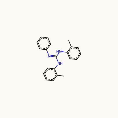 Cc1ccccc1NC(=Nc1ccccc1)Nc1ccccc1C